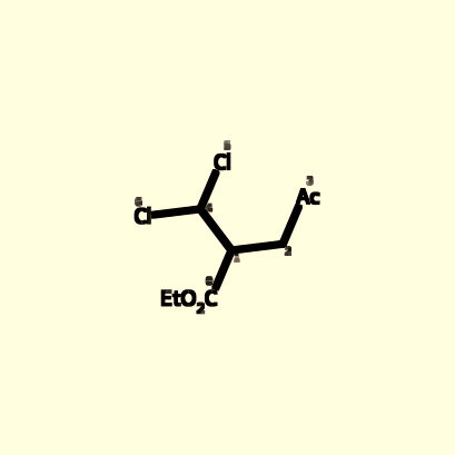 CCOC(=O)C(CC(C)=O)C(Cl)Cl